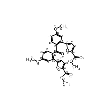 COC(=O)c1ccc(-c2cc(OC)ccc2C(=O)c2ccc(OC)cc2-c2ccc(C(=O)OC)o2)o1